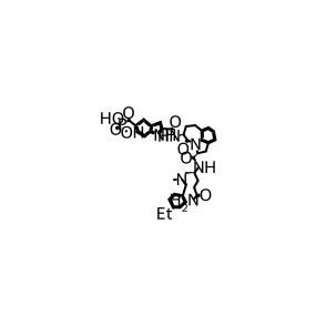 CCc1ccc(CN(C)C[C@H](CCC(N)=O)NC(=O)[C@@H]2Cc3cccc4c3N2C(=O)[C@@H](NC(=O)c2cc3cc(C(=O)P(=O)(O)O)ccc3[nH]2)CC4)cc1